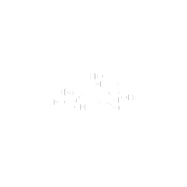 CC[C@H]1C=C(CO[Si](C)(C)C(C)(C)C)C[C@@H]2[C@H]1[C@H](O)C=C[C@@H]2O